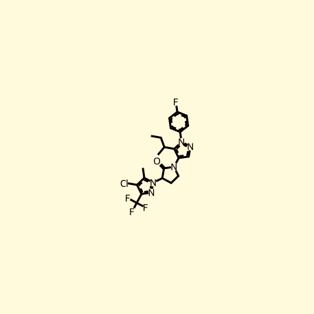 CCC(C)c1c(N2CCC(n3nc(C(F)(F)F)c(Cl)c3C)C2=O)cnn1-c1ccc(F)cc1